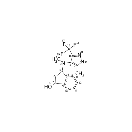 CC1=C(N(C)C2CC(O)c3ccccc32)C(C(F)(F)F)=N[N]1